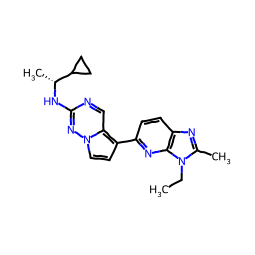 CCn1c(C)nc2ccc(-c3ccn4nc(N[C@H](C)C5CC5)ncc34)nc21